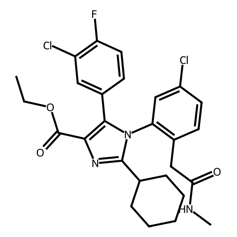 CCOC(=O)c1nc(C2CCCCC2)n(-c2cc(Cl)ccc2CC(=O)NC)c1-c1ccc(F)c(Cl)c1